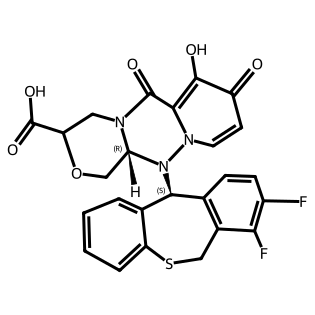 O=C(O)C1CN2C(=O)c3c(O)c(=O)ccn3N([C@@H]3c4ccccc4SCc4c3ccc(F)c4F)[C@@H]2CO1